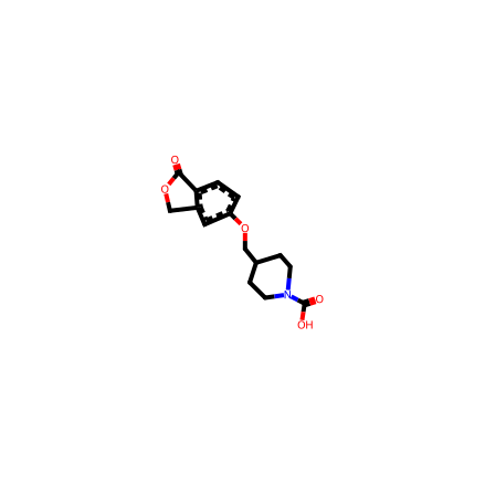 O=C1OCc2cc(OCC3CCN(C(=O)O)CC3)ccc21